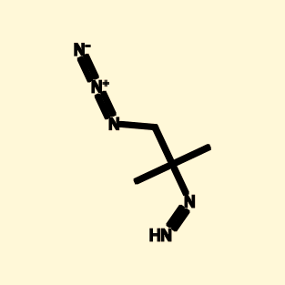 CC(C)(CN=[N+]=[N-])N=N